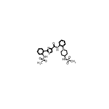 CS(=O)(=O)Nc1ccccc1-c1nc(C(=O)Nc2ccccc2N2CCC(NS(C)(=O)=O)CC2)cs1